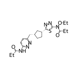 CCON(C(=O)CC)c1nnc([C@@H]2CC[C@H](Cc3ccc(NC(=O)CC)nn3)C2)s1